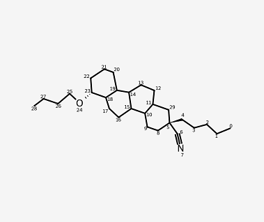 CCCCC[C@@]1(C#N)CCC2C(CCC3C2CCC2C3CCC[C@H]2OCCCC)C1